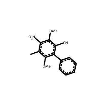 COc1c(C)c([N+](=O)[O-])c(OC)c(C#N)c1-c1ccccc1